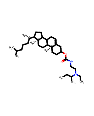 CCC(C)N(CC)CCNC(=O)OC1CC[C@]2(C)C(=CCC3C4CCC([C@@H](C)CCCC(C)C)[C@]4(C)CCC32)C1